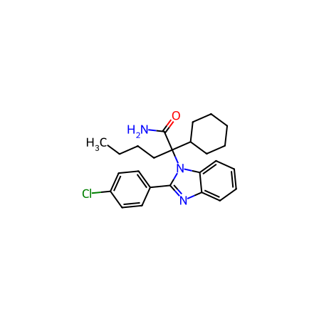 CCCCC(C(N)=O)(C1CCCCC1)n1c(-c2ccc(Cl)cc2)nc2ccccc21